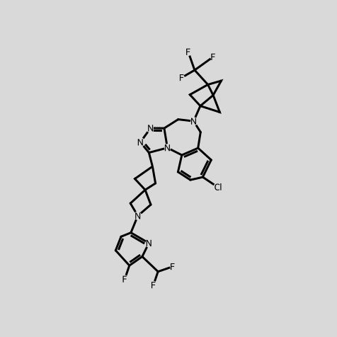 Fc1ccc(N2CC3(CC(c4nnc5n4-c4ccc(Cl)cc4CN(C46CC7(C(F)(F)F)CC47C6)C5)C3)C2)nc1C(F)F